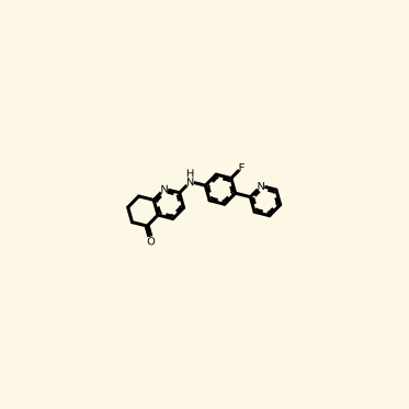 O=C1CCCc2nc(Nc3ccc(-c4ccccn4)c(F)c3)ccc21